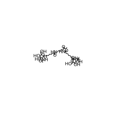 CCC(=O)C(CCCCNC(=O)CCCCCOC1OC(CO)C(O)C(O)C1NC(C)=O)NC(=O)CCCCCOC1OC(CO)C(O)C(O)C1NC(C)=O